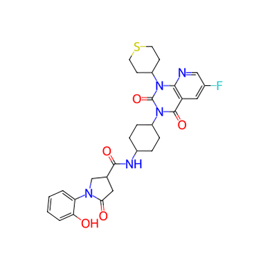 O=C(NC1CCC(n2c(=O)c3cc(F)cnc3n(C3CCSCC3)c2=O)CC1)C1CC(=O)N(c2ccccc2O)C1